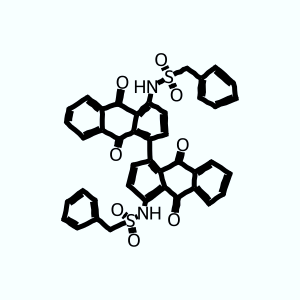 O=C1c2ccccc2C(=O)c2c(-c3ccc(NS(=O)(=O)Cc4ccccc4)c4c3C(=O)c3ccccc3C4=O)ccc(NS(=O)(=O)Cc3ccccc3)c21